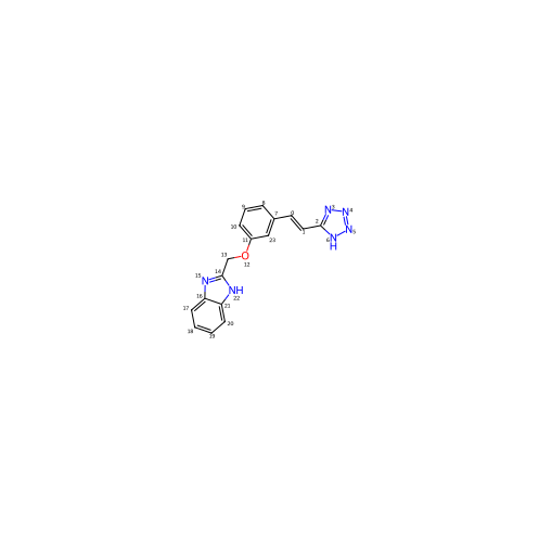 C(=Cc1nnn[nH]1)c1cccc(OCc2nc3ccccc3[nH]2)c1